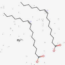 CCCCCC/C=C\CCCCCCCC(=O)[O-].CCCCCC/C=C\CCCCCCCC(=O)[O-].[Pb+2]